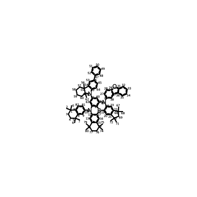 CC1(C)CCC(C)(C)c2cc(N3c4cc5c(cc4B4c6cc7c(cc6N(c6ccc8oc9ccccc9c8c6)c6cc(N8c9ccc(-c%10ccccc%10)cc9C9(C)CCCCC89C)cc3c64)C(C)(C)CC7(C)C)C(C)(C)CCC5(C)C)ccc21